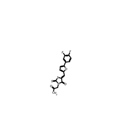 CC(=O)CN1C(=O)/C(=C/c2ccc(-c3ccc(F)c(F)c3)o2)SC1=S